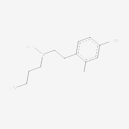 CCCN(CCCN)CCc1ccc(OC)cc1Cl